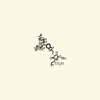 [2H]C([2H])(OS(C)(=O)=O)C([2H])([2H])N(c1ccc2c(c1)nc(CC[C@H](NC(=O)OC(C)(C)C)C(=O)N[C@@H](CC(C)C)C(=O)OCC)n2C)C([2H])([2H])C([2H])([2H])OS(C)(=O)=O